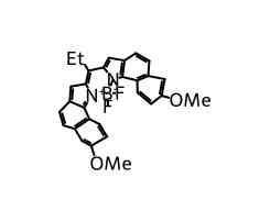 CCC1=C2C=c3ccc4cc(OC)ccc4c3=[N+]2[B-](F)(F)n2c1cc1ccc3cc(OC)ccc3c12